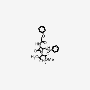 C=C(C)C(C(=O)OC)N1C(=O)C(NC(=O)COc2ccccc2)C1SNc1ccccc1